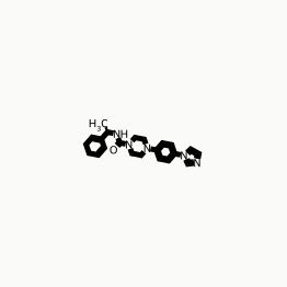 C[C@@H](NC(=O)N1CCN(c2ccc(-n3ccnc3)cc2)CC1)C1=CCCC=C1